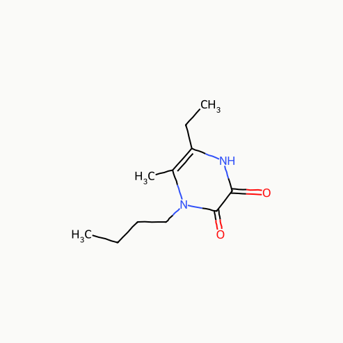 CCCCn1c(C)c(CC)[nH]c(=O)c1=O